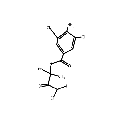 CCC(C)(NC(=O)c1cc(Cl)c(N)c(Cl)c1)C(=O)C(Cl)I